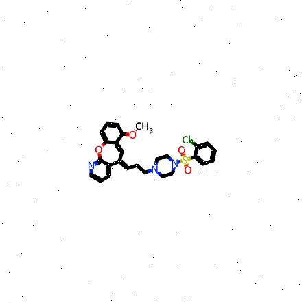 COC1C=CC=C2Oc3ncccc3C(=CCCN3CCN(S(=O)(=O)c4ccccc4Cl)CC3)C=C21